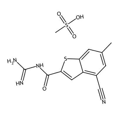 CS(=O)(=O)O.Cc1cc(C#N)c2cc(C(=O)NC(=N)N)sc2c1